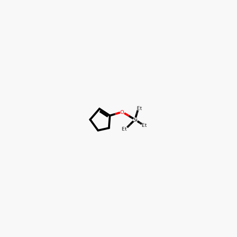 CC[Si](CC)(CC)OC1=CCCC1